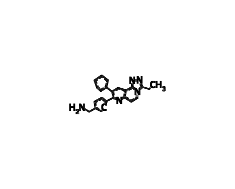 CCc1nnc2c3cc(-c4ccccc4)c(-c4ccc(CN)cc4)nc3ccn12